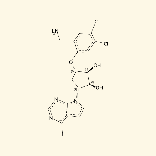 Cc1ncnc2c1ccn2[C@@H]1C[C@H](Oc2cc(Cl)c(Cl)cc2CN)[C@@H](O)[C@H]1O